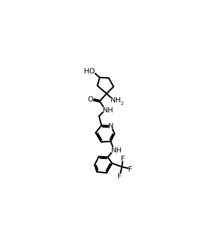 NC1(C(=O)NCc2ccc(Nc3ccccc3C(F)(F)F)cn2)CCC(O)C1